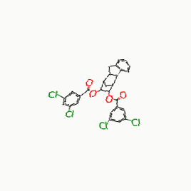 O=C(OC1C2CC(C1OC(=O)c1cc(Cl)cc(Cl)c1)C1c3ccccc3CC21)c1cc(Cl)cc(Cl)c1